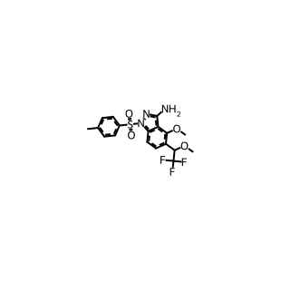 COc1c(C(OC)C(F)(F)F)ccc2c1c(N)nn2S(=O)(=O)c1ccc(C)cc1